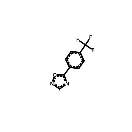 FC(F)(F)c1ccc(-c2n[c]no2)cc1